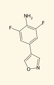 Nc1c(F)cc(-c2cnoc2)cc1F